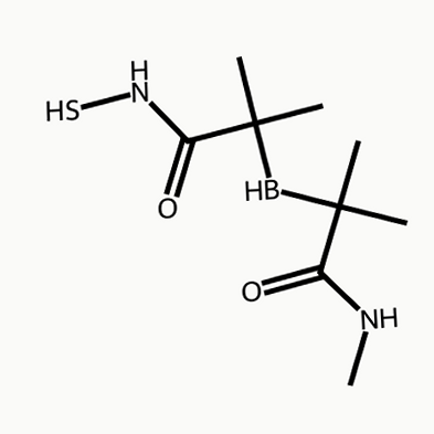 CNC(=O)C(C)(C)BC(C)(C)C(=O)NS